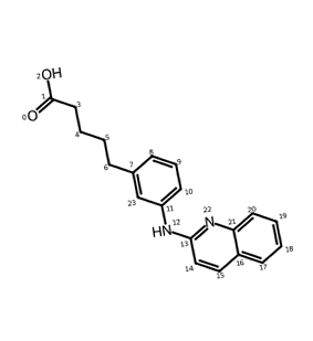 O=C(O)CCCCc1cccc(Nc2ccc3ccccc3n2)c1